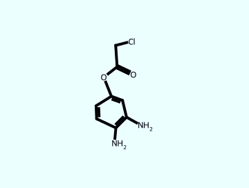 Nc1ccc(OC(=O)CCl)cc1N